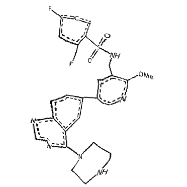 COc1ncc(-c2ccc3ncnc(N4CCNCC4)c3c2)cc1NS(=O)(=O)c1ccc(F)cc1F